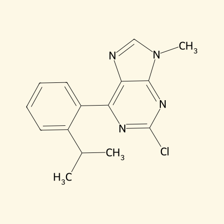 CC(C)c1ccccc1-c1nc(Cl)nc2c1ncn2C